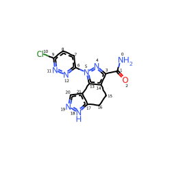 NC(=O)c1nn(-c2ccc(Cl)nn2)c2c1CCc1[nH]ncc1-2